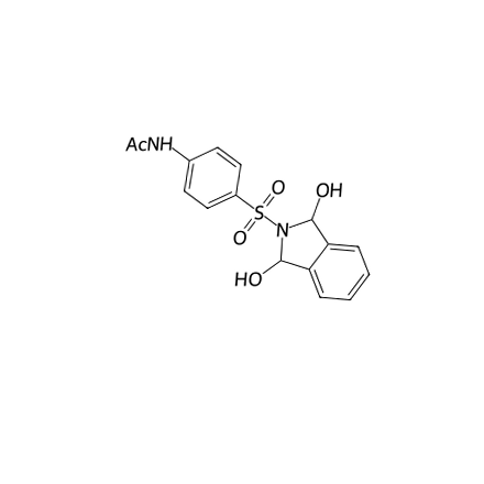 CC(=O)Nc1ccc(S(=O)(=O)N2C(O)c3ccccc3C2O)cc1